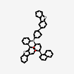 c1ccc(N(c2ccc(-c3ccc4oc5ccccc5c4c3)cc2)c2ccc(-c3cccc4ccccc34)cc2)c(-c2cccc3c2oc2ccccc23)c1